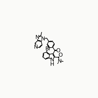 Cc1nc2cnccc2n1Cc1ccc(C(=O)c2c(C(=O)N(C)C)[nH]c3cccc(Br)c23)cc1